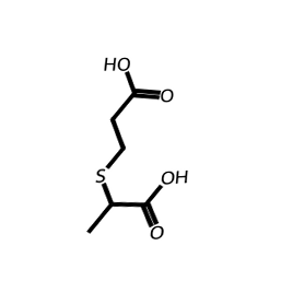 CC(SCCC(=O)O)C(=O)O